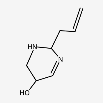 C=CCC1N=CC(O)CN1